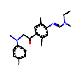 CCN(C)/C=N/c1cc(C)c(C(=O)CN(C)c2ccc(F)cc2)cc1C